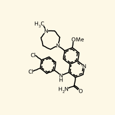 COc1cc2ncc(C(N)=O)c(Nc3ccc(Cl)c(Cl)c3)c2cc1N1CCCN(C)CC1